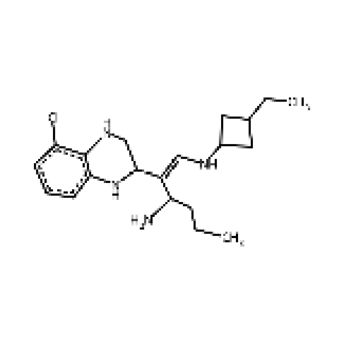 CCCC(N)/C(=C\NC1CC(CC)C1)C1CNc2c(Cl)cccc2N1